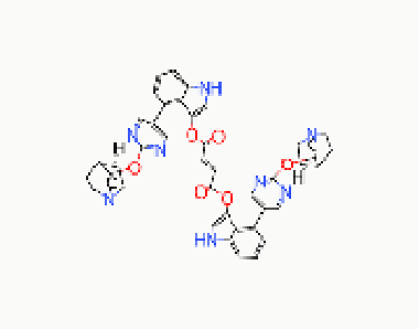 O=C(/C=C/C(=O)Oc1c[nH]c2cccc(-c3cnc(O[C@H]4CN5CCC4CC5)nc3)c12)Oc1c[nH]c2cccc(-c3cnc(O[C@H]4CN5CCC4CC5)nc3)c12